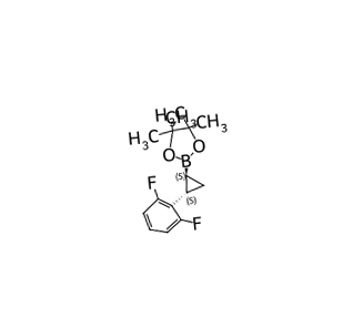 CC1(C)OB([C@H]2C[C@@H]2c2c(F)cccc2F)OC1(C)C